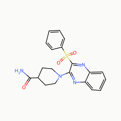 NC(=O)C1CCN(c2nc3ccccc3nc2S(=O)(=O)c2ccccc2)CC1